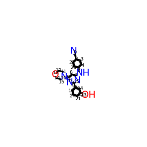 N#Cc1ccc(Nc2cc(N3CCOCC3)nc(-c3cccc(O)c3)n2)cc1